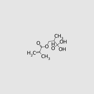 C=C(C)C(=O)OCC(C)C(O)(O)O